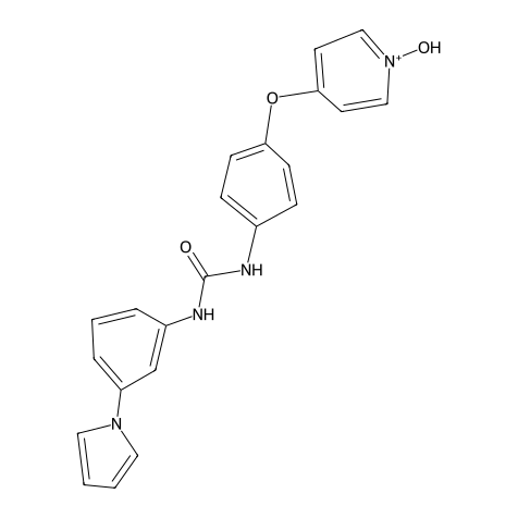 O=C(Nc1ccc(Oc2cc[n+](O)cc2)cc1)Nc1cccc(-n2cccc2)c1